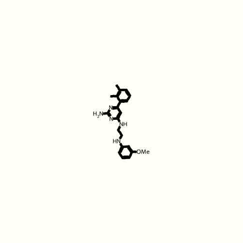 COc1cccc(NCCNc2cc(-c3cccc(C)c3C)nc(N)n2)c1